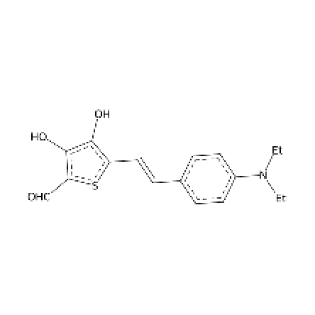 CCN(CC)c1ccc(/C=C/c2sc(C=O)c(O)c2O)cc1